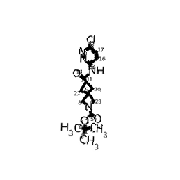 CC(C)(C)OC(=O)N1CC2(CC(C(=O)Nc3ccc(Cl)nn3)C2)C1